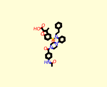 CC(=O)Nc1ccc(C(=O)N2CCN(c3ccccc3N(CCc3ccccc3)[S+]([O-])c3ccc4oc(C(=O)O)c(C)c4c3)CC2)cc1